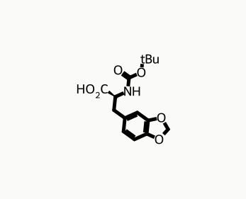 CC(C)(C)OC(=O)N[C@@H](Cc1ccc2c(c1)OCO2)C(=O)O